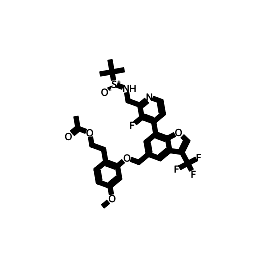 COc1ccc(CCOC(C)=O)c(OCc2cc(-c3ccnc(CN[S@@+]([O-])C(C)(C)C)c3F)c3occ(C(F)(F)F)c3c2)c1